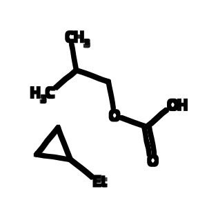 CC(C)COC(=O)O.CCC1CC1